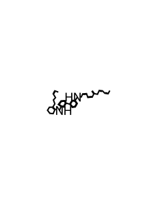 C=C(/C=C\C=C/CNc1cccc(-c2cccc(NC3=C(CCC/C=C\C)CCCC3)c2)c1)C/C=C\C=C/C